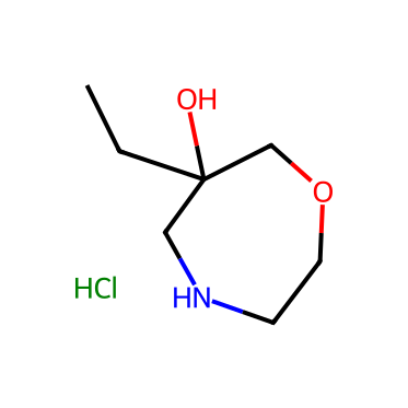 CCC1(O)CNCCOC1.Cl